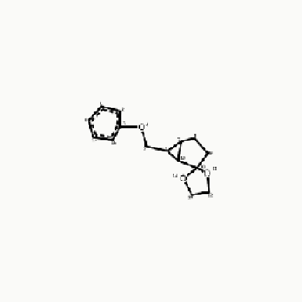 c1ccc(OCC2C3CCC4(OCCO4)C32)cc1